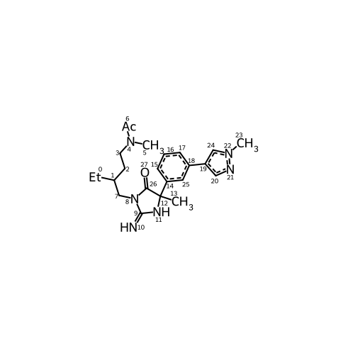 CCC(CCN(C)C(C)=O)CN1C(=N)NC(C)(c2cccc(-c3cnn(C)c3)c2)C1=O